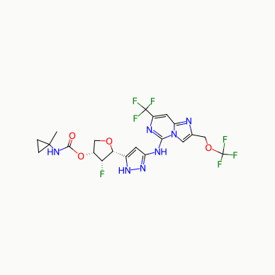 CC1(NC(=O)O[C@@H]2CO[C@H](c3cc(Nc4nc(C(F)(F)F)cc5nc(COC(F)(F)F)cn45)n[nH]3)[C@@H]2F)CC1